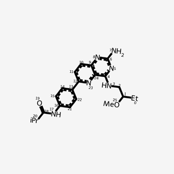 CCC(CNc1nc(N)nc2ccc(-c3ccc(NC(=O)C(C)C)cc3)nc12)OC